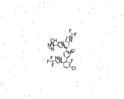 Cn1ncnc1-c1cnn([C@H](Cc2ccn(C(F)F)n2)c2ccc(-c3c(-n4cc(C(F)(F)F)nn4)ccc(Cl)c3F)c[n+]2[O-])c1